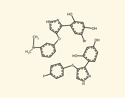 CN(C)c1cccc(Oc2c[nH]nc2-c2cc(Br)c(O)cc2O)c1.Oc1ccc(-c2n[nH]cc2Sc2ccc(F)cc2)c(O)c1